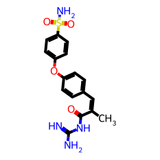 CC(=Cc1ccc(Oc2ccc(S(N)(=O)=O)cc2)cc1)C(=O)NC(=N)N